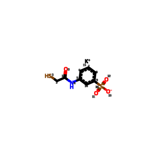 O=C(CS)Nc1cccc(S(=O)(=O)[O-])c1.[K+]